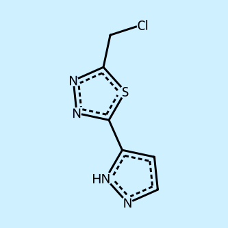 ClCc1nnc(-c2ccn[nH]2)s1